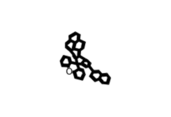 c1ccc2c(c1)Oc1ccccc1C21c2cc(-c3ccc4ccccc4c3)ccc2-c2c1cc1ccc3cccc4ccc2c1c34